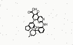 CN1CCC(O)(c2cccc(Nc3ncc4c(=O)c(C(=O)O)cn(-c5ccc6c(c5)CCC6)c4n3)c2)CC1